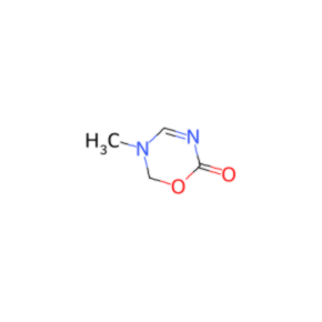 CN1C=NC(=O)OC1